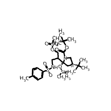 Cc1ccc(S(=O)(=O)NCC(COS(C)(=O)=O)[C@@]2(O[SiH](C)C)C[C@H](C(C)(C)C)CN2C(=O)OC(C)(C)C)cc1